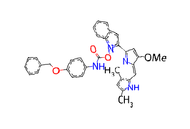 COC1=CC(c2cc3ccccc3n2OC(=O)Nc2ccc(OCc3ccccc3)cc2)=NC1=Cc1[nH]c(C)cc1C